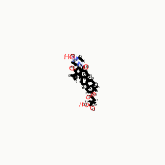 CC(C)C1=C2[C@H]3CC[C@@H]4[C@@]5(C)CC[C@H](OC(=O)CC(C)(C)C(=O)O)C(C)(C)[C@@H]5CC[C@@]4(C)[C@]3(C)CC[C@@]2(C(=O)N2CCN(O)CC2)CC1=O